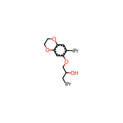 CC(C)CC(O)COc1cc2c(cc1C(C)C)OCCO2